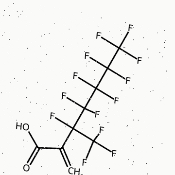 C=C(C(=O)O)C(F)(C(F)(F)F)C(F)(F)C(F)(F)C(F)(F)C(F)(F)F